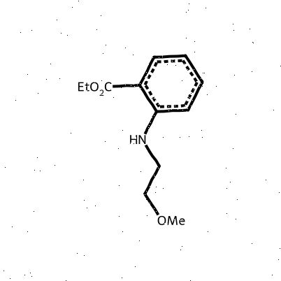 CCOC(=O)c1ccccc1NCCOC